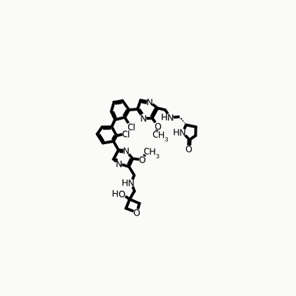 COc1nc(-c2cccc(-c3cccc(-c4cnc(CNCC5(O)COC5)c(OC)n4)c3Cl)c2Cl)cnc1CNC[C@@H]1CCC(=O)N1